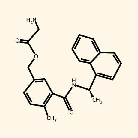 Cc1ccc(COC(=O)CN)cc1C(=O)N[C@H](C)c1cccc2ccccc12